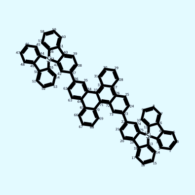 c1ccc2c(c1)-c1ccccc1[Si]21c2ccccc2-c2ccc(-c3ccc4c5ccccc5c5c6cc(-c7ccc8c(c7)[Si]7(c9ccccc9-c9ccccc97)c7ccccc7-8)ccc6c6ccccc6c5c4c3)cc21